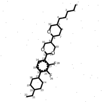 CCCCCC1CCC(C2COC(c3ccc(C4CCC(CC)CC4)c(F)c3F)OC2)OC1